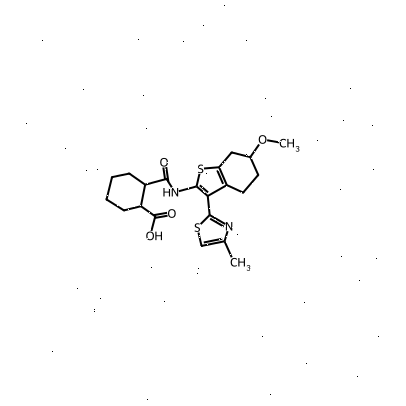 COC1CCc2c(sc(NC(=O)C3CCCCC3C(=O)O)c2-c2nc(C)cs2)C1